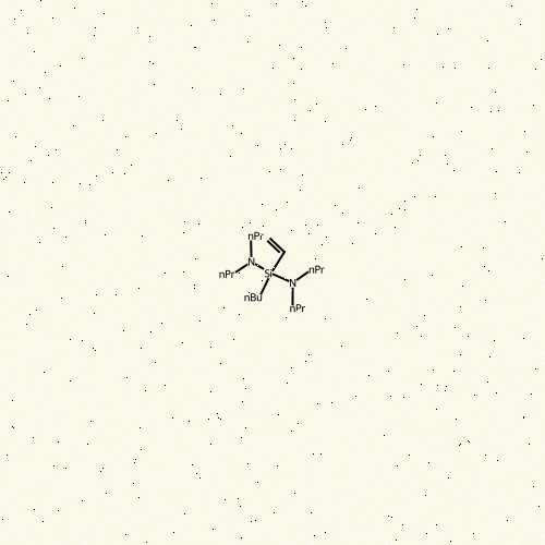 C=C[Si](CCCC)(N(CCC)CCC)N(CCC)CCC